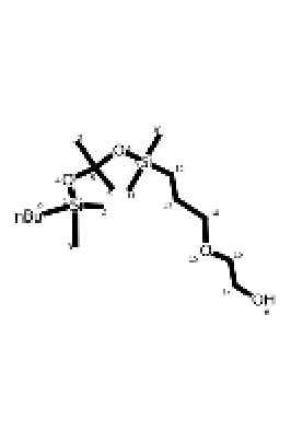 CCCC[Si](C)(C)OC(C)(C)O[Si](C)(C)CCCOCCO